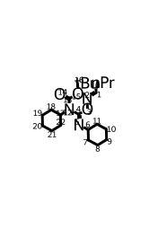 CCCC=NOC(=NC1CCCCC1)N(C(=O)OC(C)(C)C)C1CCCCC1